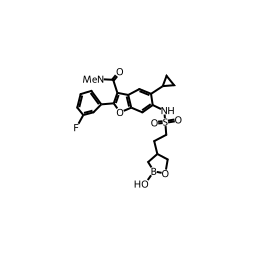 CNC(=O)c1c(-c2cccc(F)c2)oc2cc(NS(=O)(=O)CCC3COB(O)C3)c(C3CC3)cc12